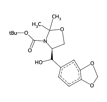 CC(C)(C)OC(=O)N1[C@H](C(O)c2ccc3c(c2)OCO3)COC1(C)C